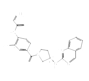 C=CC(=O)Nc1ccc(C(=O)N2CC[C@@H](Nc3ncc4ccccc4n3)C2)cc1F